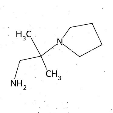 CC(C)(CN)N1CCCC1